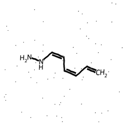 C=C/C=C\C=C/NN